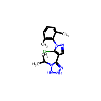 Cc1cccc(C)c1-n1ncc(C2=NNNN2C(C)C)c1Cl